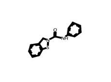 O=C(Nc1ccccc1)N1Cc2ccccc2S1